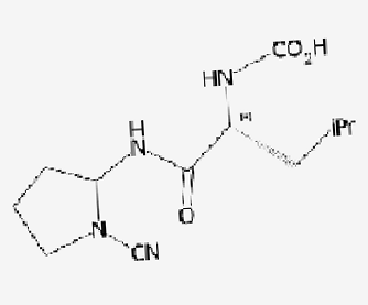 CC(C)C[C@@H](NC(=O)O)C(=O)NC1CCCN1C#N